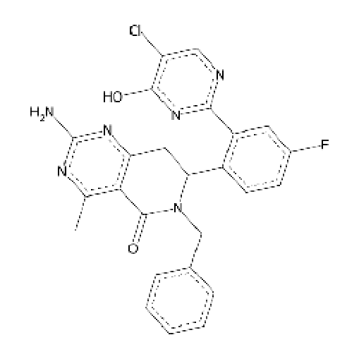 Cc1nc(N)nc2c1C(=O)N(Cc1ccccc1)C(c1ccc(F)cc1-c1ncc(Cl)c(O)n1)C2